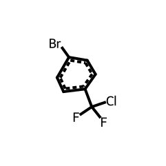 FC(F)(Cl)c1ccc(Br)cc1